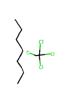 CCCCCCC.ClC(Cl)(Cl)Cl